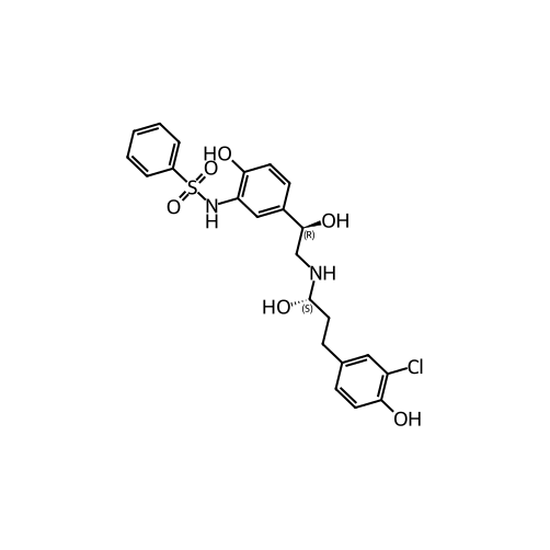 O=S(=O)(Nc1cc([C@@H](O)CN[C@@H](O)CCc2ccc(O)c(Cl)c2)ccc1O)c1ccccc1